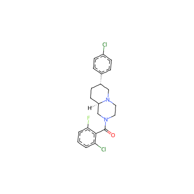 O=C(c1c(F)cccc1Cl)N1CCN2C[C@@H](c3ccc(Cl)cc3)CC[C@@H]2C1